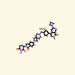 COc1cc(-c2cn(C)c(=O)c3cnc(N4CCC4)cc23)ccc1CN1CCC2(CC1)CN(c1ccc3c(c1)CN(C1CCC(=O)NC1=O)C3=O)C2